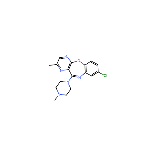 Cc1cnc2c(n1)C(N1CCN(C)CC1)=Nc1cc(Cl)ccc1O2